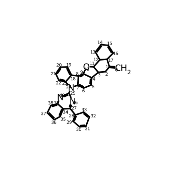 C=C1CC2c3ccc4c(c3OC2C2C=CC=CC12)c1ccccc1n4-c1nc(-c2ccccc2)c2ccccc2n1